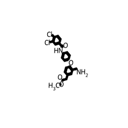 COC(=O)Cc1ccc(Oc2ccc(NC(=O)c3ccc(Cl)c(Cl)c3)cc2)c(CN)c1